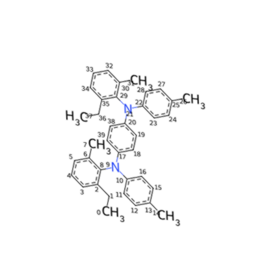 CCc1cccc(C)c1N(c1ccc(C)cc1)c1ccc(N(c2ccc(C)cc2)c2c(C)cccc2CC)cc1